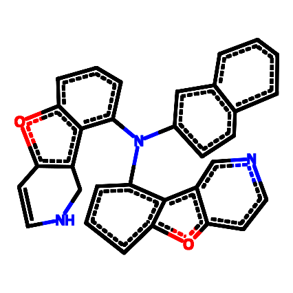 C1=Cc2oc3cccc(N(c4ccc5ccccc5c4)c4cccc5oc6ccncc6c45)c3c2CN1